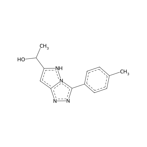 Cc1ccc(-c2nnc3cc(C(C)O)[nH]n23)cc1